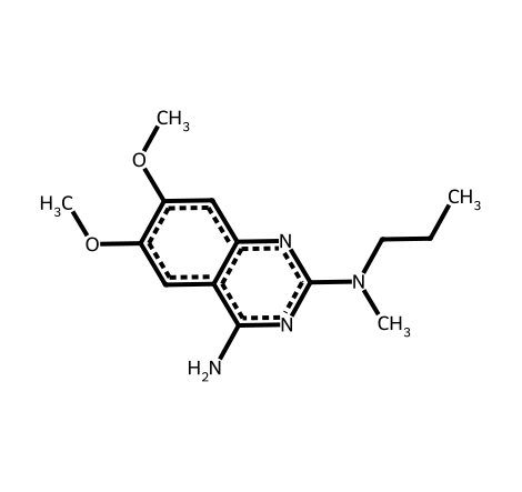 CCCN(C)c1nc(N)c2cc(OC)c(OC)cc2n1